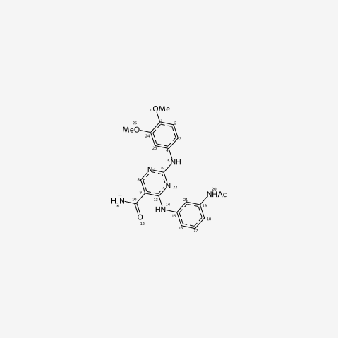 COc1ccc(Nc2ncc(C(N)=O)c(Nc3cccc(NC(C)=O)c3)n2)cc1OC